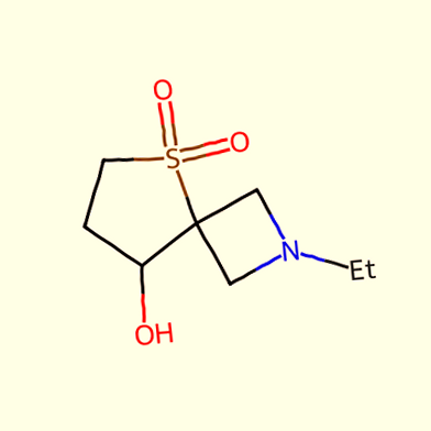 CCN1CC2(C1)C(O)CCS2(=O)=O